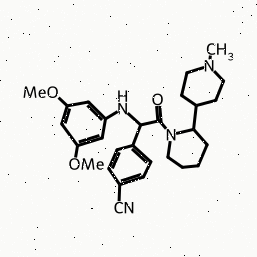 COc1cc(NC(C(=O)N2CCCCC2C2CCN(C)CC2)c2ccc(C#N)cc2)cc(OC)c1